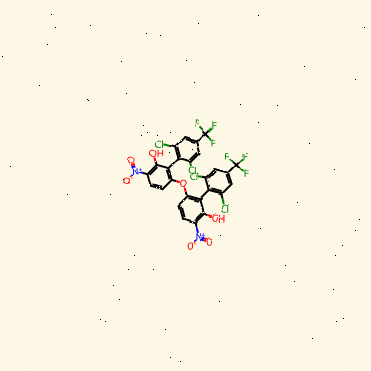 O=[N+]([O-])c1ccc(Oc2ccc([N+](=O)[O-])c(O)c2-c2c(Cl)cc(C(F)(F)F)cc2Cl)c(-c2c(Cl)cc(C(F)(F)F)cc2Cl)c1O